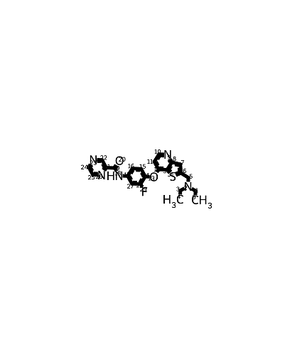 CCN(CC)Cc1cc2nccc(Oc3ccc(NC(=O)c4cnccn4)cc3F)c2s1